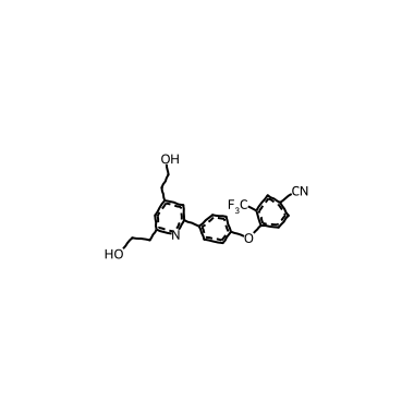 N#Cc1ccc(Oc2ccc(-c3cc(CCO)cc(CCO)n3)cc2)c(C(F)(F)F)c1